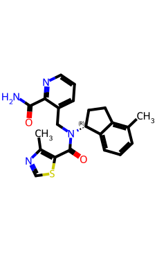 Cc1cccc2c1CC[C@H]2N(Cc1cccnc1C(N)=O)C(=O)c1scnc1C